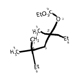 CCOC(=O)OC(C)(CC)CC(C)(C)CC